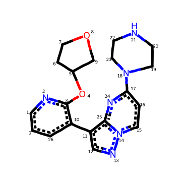 c1cnc(OC2CCOC2)c(-c2cnn3ccc(N4CCNCC4)nc23)c1